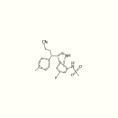 Cc1ccc(C(CCC#N)c2c[nH]c3c(NS(C)(=O)=O)cc(F)cc23)cc1